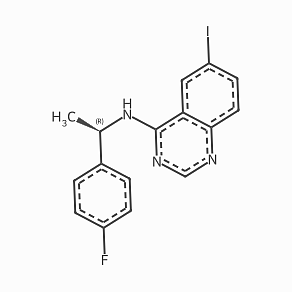 C[C@@H](Nc1ncnc2ccc(I)cc12)c1ccc(F)cc1